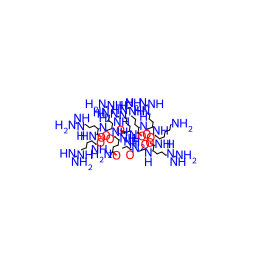 CC(N)C(=O)NCC(=O)NC(CCCNC(=N)N)C(=O)NC(CCCCN)C(=O)NC(CCCNC(=N)N)C(=O)NC(CCCNC(=N)N)C(=O)NC(CCCNC(=N)N)C(=O)NC(CCC(N)=O)C(=O)NC(CCCNC(=N)N)C(=O)NC(CCCNC(=N)N)C(=O)NC(CCCNC(=N)N)C(N)=O